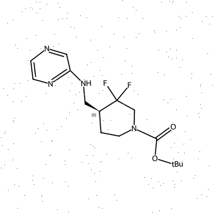 CC(C)(C)OC(=O)N1CC[C@@H](CNc2cnccn2)C(F)(F)C1